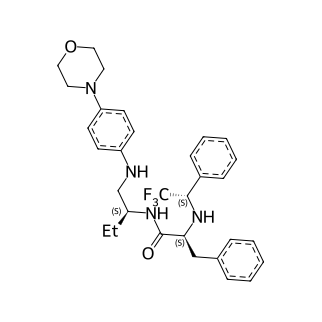 CC[C@@H](CNc1ccc(N2CCOCC2)cc1)NC(=O)[C@H](Cc1ccccc1)N[C@@H](c1ccccc1)C(F)(F)F